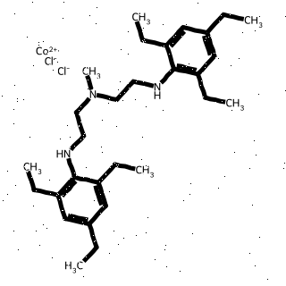 CCc1cc(CC)c(NCCN(C)CCNc2c(CC)cc(CC)cc2CC)c(CC)c1.[Cl-].[Cl-].[Co+2]